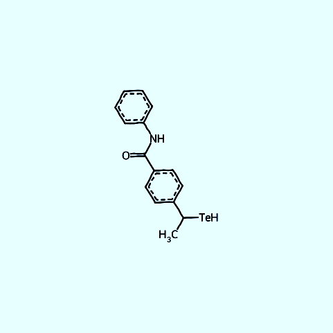 CC([TeH])c1ccc(C(=O)Nc2ccccc2)cc1